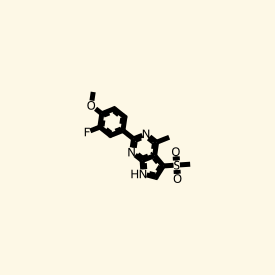 COc1ccc(-c2nc(C)c3c(S(C)(=O)=O)c[nH]c3n2)cc1F